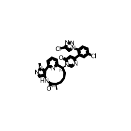 C[C@@H]1CCC[C@H](n2cnc(-c3cc(Cl)ccc3-n3cc(Cl)nn3)cc2=O)c2cccc(n2)-c2c(cnn2C)NC1=O